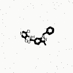 Cc1nn(Cc2ccccc2)c2cc(C(=O)Nc3c(Cl)cncc3Cl)ccc12